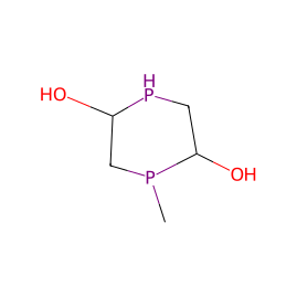 CP1CC(O)PCC1O